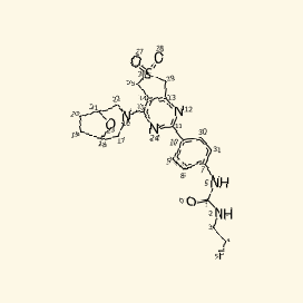 O=C(NCCF)Nc1ccc(-c2nc3c(c(N4CC5CCC(C4)O5)n2)CS(=O)(=O)C3)cc1